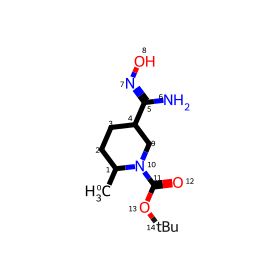 CC1CCC(C(N)=NO)CN1C(=O)OC(C)(C)C